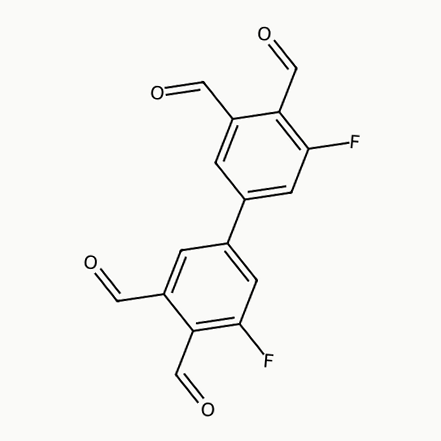 O=Cc1cc(-c2cc(F)c(C=O)c(C=O)c2)cc(F)c1C=O